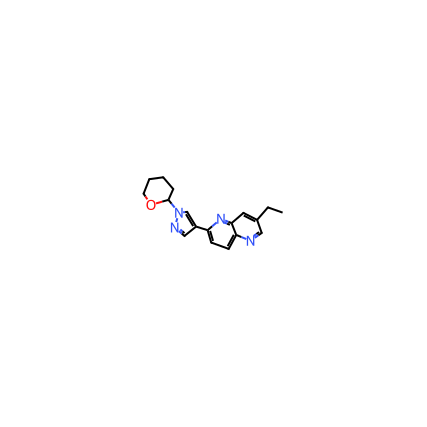 CCc1cnc2ccc(-c3cnn(C4CCCCO4)c3)nc2c1